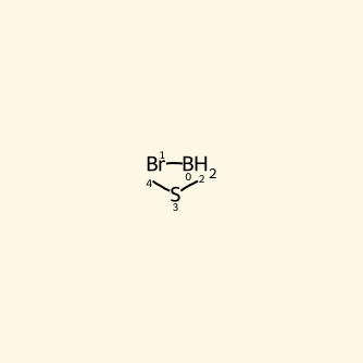 BBr.CSC